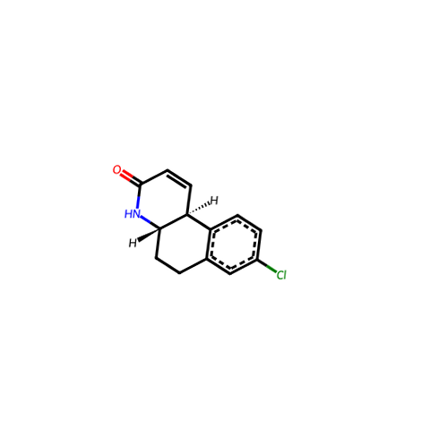 O=C1C=C[C@H]2c3ccc(Cl)cc3CC[C@@H]2N1